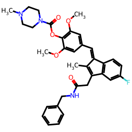 COc1cc(C=C2C(C)=C(CC(=O)NCc3ccccc3)c3cc(F)ccc32)cc(OC)c1OC(=O)N1CCN(C)CC1